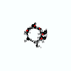 COc1ccc(C[C@@H]2NC(=O)[C@H]([C@@H](C)O)NC(=O)[C@@H]3CCCN3C(=O)[C@H](Cc3c[nH]c4ccc(F)cc34)NC(=O)[C@H](Cc3c[nH]c4ccc(F)cc34)NC(=O)[C@@H](C)NC(=O)[C@H](CCCCN)NC(=O)CCSCc3cc(Br)cc(c3)CSC[C@@H](C(N)=O)NC(=O)[C@]3(C)CCCN3C2=O)cc1